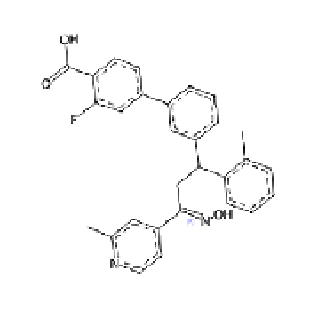 Cc1cc(/C(CC(c2cccc(-c3ccc(C(=O)O)c(F)c3)c2)c2ccccc2C)=N/O)ccn1